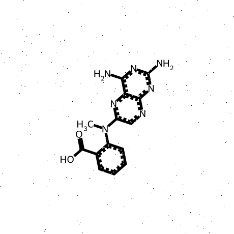 CN(c1cnc2nc(N)nc(N)c2n1)c1ccccc1C(=O)O